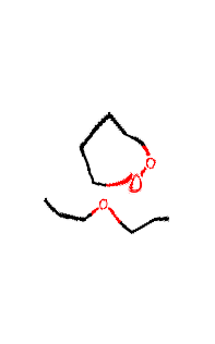 C1CCOOC1.CCOCC